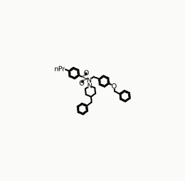 CCCc1ccc(S(=O)(=O)N(Cc2ccc(OCc3ccccc3)cc2)N2CCC(Cc3ccccc3)CC2)cc1